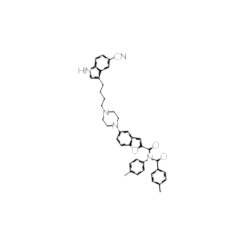 Cc1ccc(C(=O)N(C(=O)c2cc3cc(N4CCN(CCCCc5c[nH]c6ccc(C#N)cc56)CC4)ccc3o2)c2ccc(C)cc2)cc1